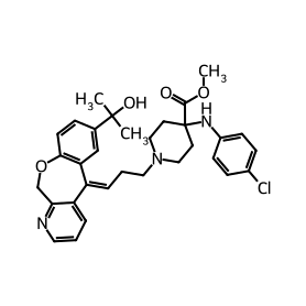 COC(=O)C1(Nc2ccc(Cl)cc2)CCN(CC/C=C2\c3cc(C(C)(C)O)ccc3OCc3ncccc32)CC1